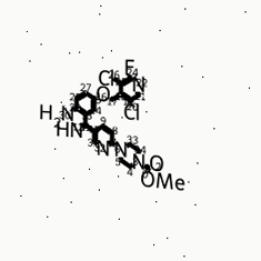 COC(=O)N1CCN(c2ccc(C(=N)c3cc(OCc4c(Cl)cnc(F)c4Cl)ccc3N)cn2)CC1